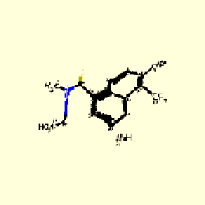 COc1ccc2c(C(=S)N(C)CC(=O)O)cccc2c1C(F)(F)F.[NaH]